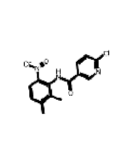 Cc1ccc([N+](=O)[O-])c(NC(=O)c2ccc(Cl)nc2)c1C